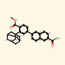 COC(=O)c1ccc(-c2ccc3cc(C(=O)Cl)ccc3c2)cc1C12CC3CC(CC(C3)C1)C2